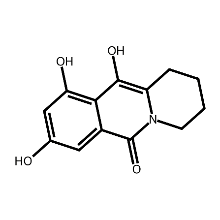 O=c1c2cc(O)cc(O)c2c(O)c2n1CCCC2